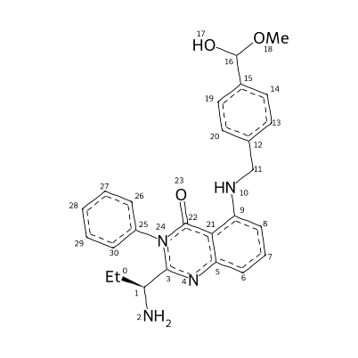 CC[C@H](N)c1nc2cccc(NCc3ccc(C(O)OC)cc3)c2c(=O)n1-c1ccccc1